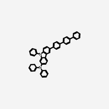 C1=CCCC(N(c2ccccc2)c2ccc3c4cc(-c5ccc(-c6ccc(-c7ccccc7)cc6)cc5)ccc4n(-c4ccccc4)c3c2)=C1